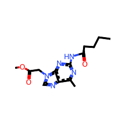 CCCCC(=O)Nc1nc(C)c2ncn(CC(=O)OC)c2n1